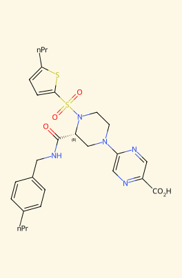 CCCc1ccc(CNC(=O)[C@H]2CN(c3cnc(C(=O)O)cn3)CCN2S(=O)(=O)c2ccc(CCC)s2)cc1